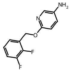 Nc1ccc(OCc2cccc(F)c2F)nc1